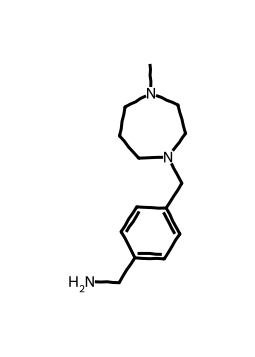 CN1CCCN(Cc2ccc(CN)cc2)CC1